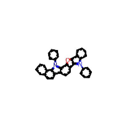 c1ccc(-n2c3ccccc3c3oc4c(ccc5c6ccc7ccccc7c6n(-c6ccccc6)c54)c32)cc1